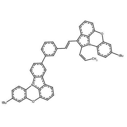 C/C=C\c1c(/C=C/c2cccc(-c3ccc4c(c3)c3cccc5c3n4-c3ccc(C(C)(C)C)cc3O5)c2)c2cccc3c2n1-c1ccc(C(C)(C)C)cc1O3